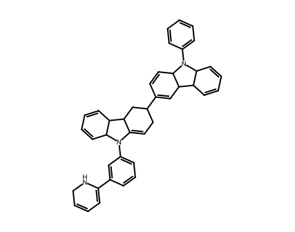 C1=CCNC(c2cccc(N3C4=CCC(C5=CC6C7C=CC=CC7N(c7ccccc7)C6C=C5)CC4C4C=CC=CC43)c2)=C1